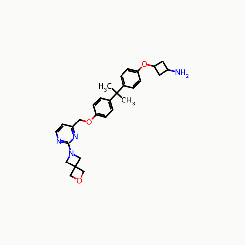 CC(C)(c1ccc(OCc2ccnc(N3CC4(COC4)C3)n2)cc1)c1ccc(OC2CC(N)C2)cc1